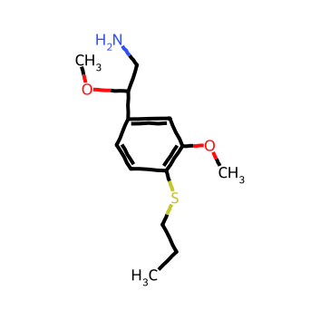 CCCSc1ccc(C(CN)OC)cc1OC